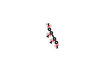 C=CC(=O)Oc1ccc(-c2ccc(C#Cc3ccc(-c4ccc(OC(=O)C(=C)F)cc4)cc3OC(=O)C(=C)C)cc2OC(=O)C(=C)C)cc1